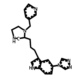 c1cncc(CN2CCNCC2CCCc2c[nH]c3ccc(-n4cnnc4)cc23)c1